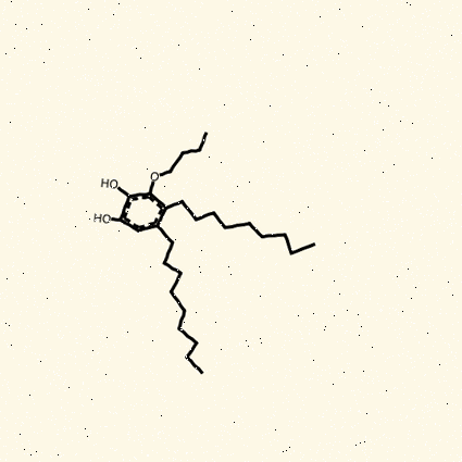 CCCCCCCCCc1cc(O)c(O)c(OCCCC)c1CCCCCCCCC